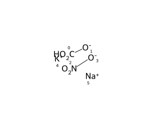 O=C([O-])O.O=[N+]([O-])[O-].[K+].[Na+]